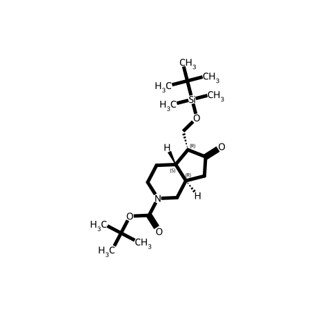 CC(C)(C)OC(=O)N1CC[C@H]2[C@@H](CC(=O)[C@H]2CO[Si](C)(C)C(C)(C)C)C1